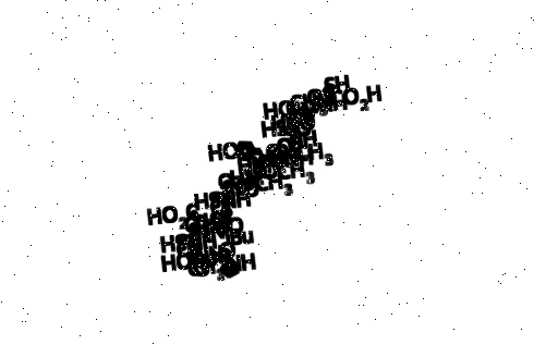 CC[C@H](C)[C@H](NC(=O)[C@H](CCC(=O)O)NC(=O)[C@H](CS)NC(=O)[C@@H](NC(=O)CNC(=O)[C@@H]1CCCN1)[C@@H](C)O)C(=O)NCC(=O)N[C@@H](CS)C(=O)NCC(=O)N[C@@H](C)C(=O)N[C@@H](Cc1ccc(O)cc1)C(=O)N[C@@H](C)C(=O)N[C@@H](C)C(=O)N[C@@H](CS)C(=O)N[C@H](C(=O)NCC(=O)N[C@@H](CS)C(=O)O)[C@@H](C)O